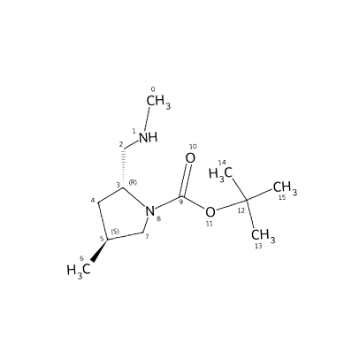 CNC[C@H]1C[C@H](C)CN1C(=O)OC(C)(C)C